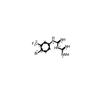 CNC(=N)NC(=N)Nc1ccc(Br)c(C(F)(F)F)c1